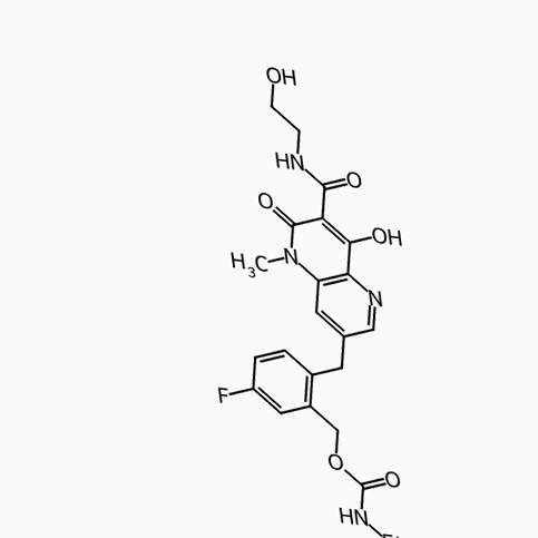 CCNC(=O)OCc1cc(F)ccc1Cc1cnc2c(O)c(C(=O)NCCO)c(=O)n(C)c2c1